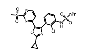 CCCS(=O)(=O)Nc1cccc(-c2nc(C3CC3)oc2-c2ccnc(S(C)(=O)=O)n2)c1Cl